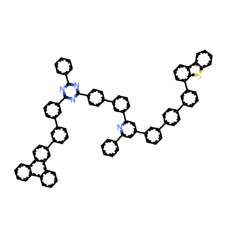 c1ccc(-c2cc(-c3cccc(-c4ccc(-c5cccc(-c6cccc7c6sc6ccccc67)c5)cc4)c3)cc(-c3cccc(-c4ccc(-c5nc(-c6ccccc6)nc(-c6cccc(-c7cccc(-c8ccc9c%10ccccc%10c%10ccccc%10c9c8)c7)c6)n5)cc4)c3)n2)cc1